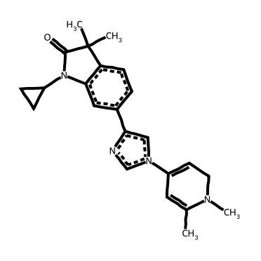 CC1=CC(n2cnc(-c3ccc4c(c3)N(C3CC3)C(=O)C4(C)C)c2)=CCN1C